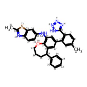 Cc1ccc(-c2nnn[nH]2)c(-c2cc(Nc3ccc4nc(C)sc4c3)c3c(c2)C(c2ccccc2)CCCO3)c1